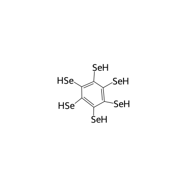 [SeH]c1c([SeH])c([SeH])c([SeH])c([SeH])c1[SeH]